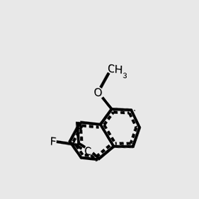 COc1[c]ccc2c3ccc(c(F)c3)c12